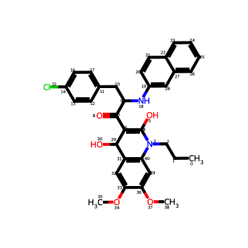 CCCN1C(O)=C(C(=O)C(Cc2ccc(Cl)cc2)Nc2ccc3ccccc3c2)C(O)c2cc(OC)c(OC)cc21